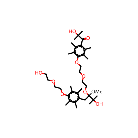 COC(Cc1c(C)c(C)c(OCCOCCO)c(C)c1C)(OCCOCCOc1c(C)c(C)c(C(=O)C(C)(C)O)c(C)c1C)C(C)(C)O